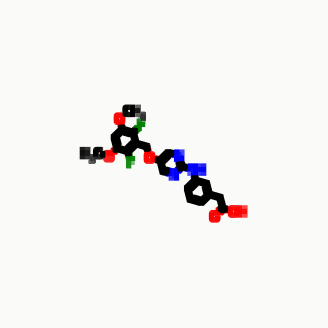 COc1cc(OC)c(F)c(COc2cnc(Nc3cccc(CC(=O)O)c3)nc2)c1F